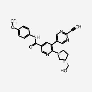 C#Cc1ncc(-c2cc(C(=O)Nc3ccc(OC(F)(F)F)cc3)cnc2N2CC[C@H](CO)C2)cn1